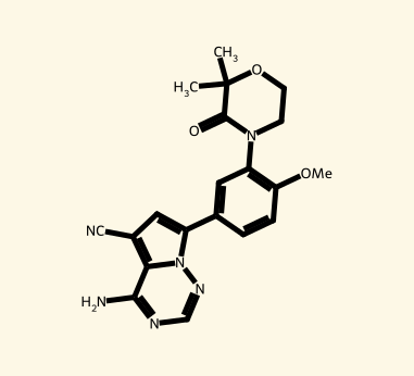 COc1ccc(-c2cc(C#N)c3c(N)ncnn23)cc1N1CCOC(C)(C)C1=O